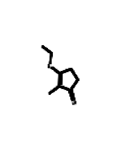 CCOC1=C(C)C(=O)CC1